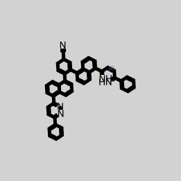 N#CC1C=C(c2cccc3c(C(=N)/C=C\C(=N)c4ccccc4)cccc23)C(c2cccc3c(-c4ccc(-c5ccccc5)nn4)cccc23)=CC1